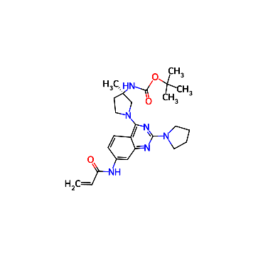 C=CC(=O)Nc1ccc2c(N3CC[C@@](C)(NC(=O)OC(C)(C)C)C3)nc(N3CCCC3)nc2c1